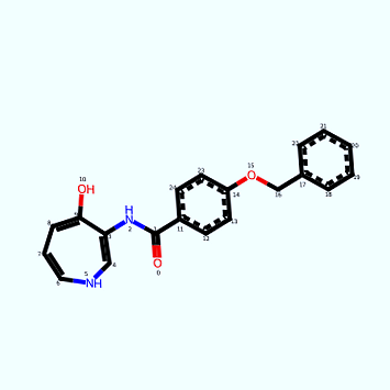 O=C(NC1=CNC=CC=C1O)c1ccc(OCc2ccccc2)cc1